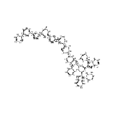 c1ccc(-n2c(-c3cc(-c4nc5ccccc5n4-c4ccccc4)cc(-c4nc5cc(-c6ccc(-c7cccc(-c8nnc(-c9cccc(-c%10nnc(-c%11cccc(-c%12ccccn%12)n%11)o%10)c9)o8)n7)nc6)ccc5n4-c4ccccc4)c3)nc3ccccc32)cc1